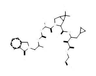 C=CCNC(=O)C(=O)C(CC1CC1)NC(=O)C1C2C(CN1C(=O)[C@@H](NC(=O)NC(CN1Cc3ccccc3C1=O)C(C)(C)C)C(C)(C)C)C2(C)C